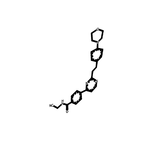 N#CCNC(=O)c1ccc(-c2ccnc(CCc3ccc(N4CCOCC4)cc3)n2)cc1